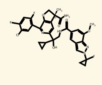 COc1cc(C(=O)NCC(O)(c2cc3c(c(-c4cc(Cl)c(F)cc4F)n2)OC[C@]3(C)C(N)=O)C2CC2)cc2cn(C3(F)CC3)nc12